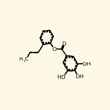 CCCc1ccccc1OC(=O)c1cc(O)c(O)c(O)c1